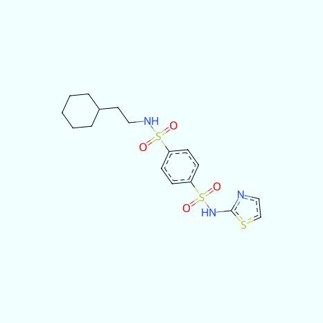 O=S(=O)(NCCC1CCCCC1)c1ccc(S(=O)(=O)Nc2nccs2)cc1